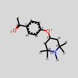 CC(=O)c1ccc(OC2CC(C)(C)N(C)C(C)(C)C2)cc1